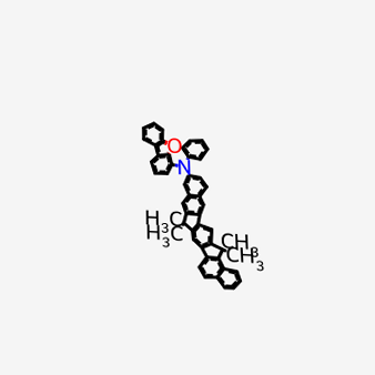 CC1(C)c2cc3c(cc2-c2cc4ccc(N(c5ccccc5)c5cccc6c5oc5ccccc56)cc4cc21)C(C)(C)c1c-3ccc2ccccc12